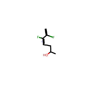 C=C(F)/C(F)=C\CC(C)O